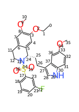 CCOc1cc2c(cc1OC)CCN(S(=O)(=O)c1cccc(F)c1)[C@H]2CCc1c[nH]c2ccc(OC)cc12